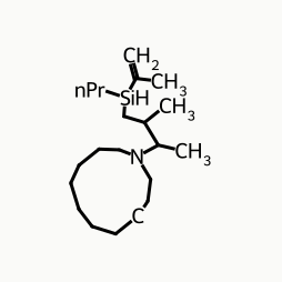 C=C(C)[SiH](CCC)CC(C)C(C)N1CCCCCCCCCC1